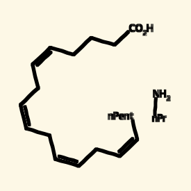 CCCCC/C=C\C/C=C\C/C=C\C/C=C\CCCC(=O)O.CCCN